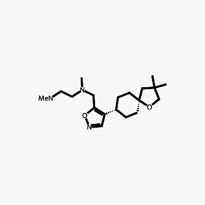 CNCCN(C)Cc1oncc1[C@H]1CC[C@]2(CC1)CC(C)(C)CO2